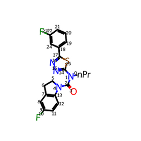 CCCN(C(=O)N1CCc2cc(F)ccc21)c1nnc(-c2cccc(F)c2)s1